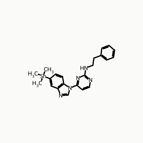 [CH3][Sn]([CH3])([CH3])[c]1ccc2c(c1)ncn2-c1ccnc(NCCc2ccccc2)n1